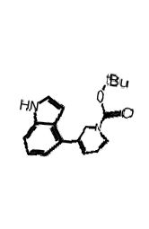 CC(C)(C)OC(=O)N1CCC=C(c2cccc3[nH]ccc23)C1